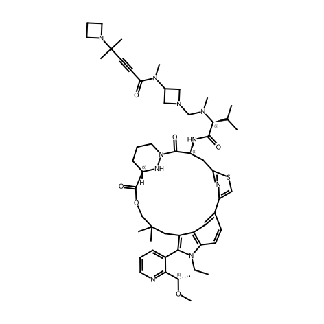 CCn1c(-c2cccnc2[C@H](C)OC)c2c3cc(ccc31)-c1csc(n1)C[C@H](NC(=O)[C@H](C(C)C)N(C)CN1CC(N(C)C(=O)C#CC(C)(C)N3CCC3)C1)C(=O)N1CCC[C@H](N1)C(=O)OCC(C)(C)C2